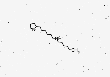 CCCCCCNCCCCCCC1CCC[N]1